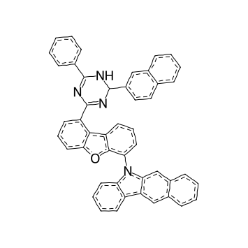 c1ccc(C2=NC(c3cccc4oc5c(-n6c7ccccc7c7cc8ccccc8cc76)cccc5c34)=NC(c3ccc4ccccc4c3)N2)cc1